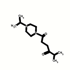 CC(C)C(=O)CCC(=O)N1CCN(C(C)C)CC1